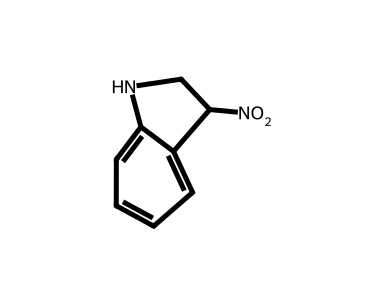 O=[N+]([O-])C1CNc2ccccc21